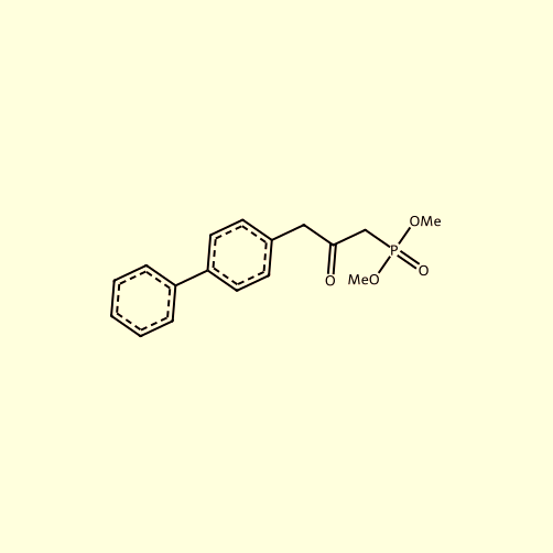 COP(=O)(CC(=O)Cc1ccc(-c2ccccc2)cc1)OC